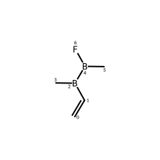 C=CB(C)B(C)F